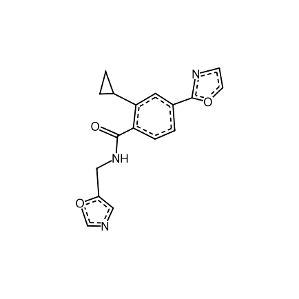 O=C(NCc1cnco1)c1ccc(-c2ncco2)cc1C1CC1